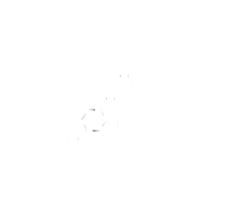 CCc1cc(Cl)ccc1OCC(=O)O